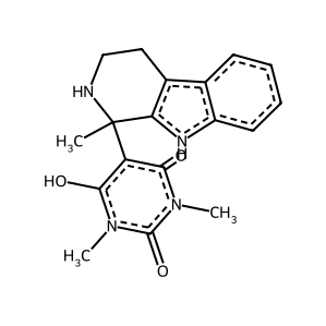 Cn1c(O)c(C2(C)NCCc3c2[nH]c2ccccc32)c(=O)n(C)c1=O